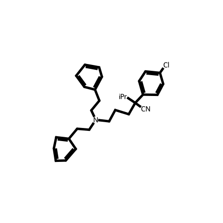 CC(C)C(C#N)(CCCN(CCc1ccccc1)CCc1ccccc1)c1ccc(Cl)cc1